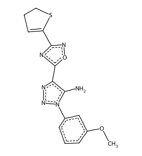 COc1cccc(-n2nnc(-c3nc(C4=CCCS4)no3)c2N)c1